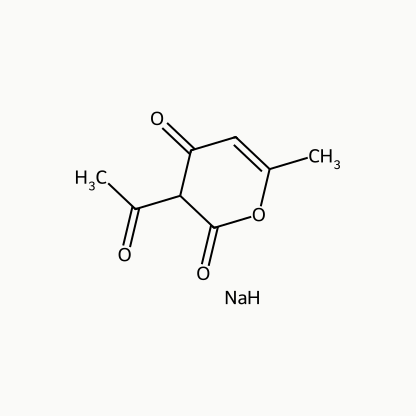 CC(=O)C1C(=O)C=C(C)OC1=O.[NaH]